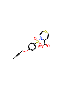 CC#CCOc1ccc(S(=O)(=O)N2C=CSC=CC2C(=O)O)cc1